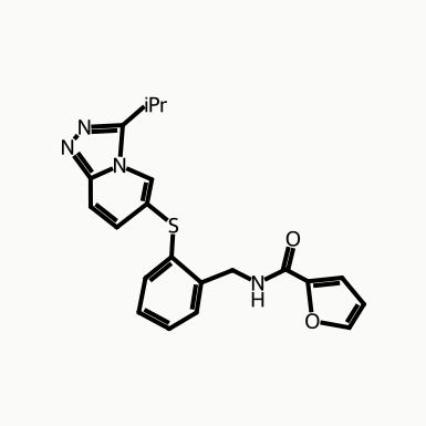 CC(C)c1nnc2ccc(Sc3ccccc3CNC(=O)c3ccco3)cn12